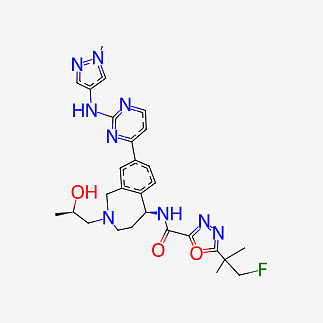 C[C@@H](O)CN1CC[C@H](NC(=O)c2nnc(C(C)(C)CF)o2)c2ccc(-c3ccnc(Nc4cnn(C)c4)n3)cc2C1